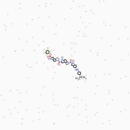 CN(C)c1ccc(/N=N/c2ccc3[nH]c(C(=O)N4CCc5c4ccc4[nH]c(C(=O)N6CCc7c6ccc6[nH]c(C(=O)Oc8c(F)c(F)c(F)c(F)c8F)cc76)cc54)cc3c2)cc1